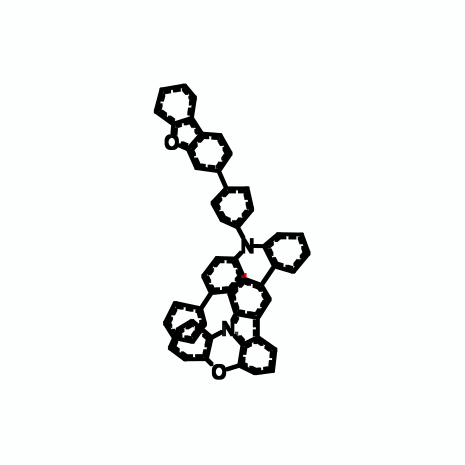 c1ccc(-c2ccc(N(c3ccc(-c4ccc5c(c4)oc4ccccc45)cc3)c3ccccc3-c3ccc4c(c3)c3cccc5c3n4-c3ccccc3O5)cc2)cc1